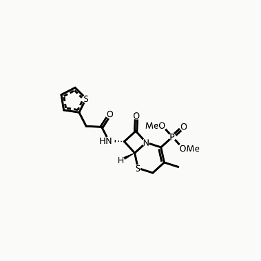 COP(=O)(OC)C1=C(C)CS[C@@H]2[C@H](NC(=O)Cc3cccs3)C(=O)N12